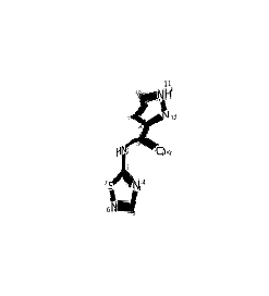 O=C(Nc1ncns1)c1cc[nH]n1